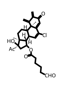 C=C1C(=C)[C@@]2(C)C(=CC1=O)C(Cl)=C[C@@H]1[C@@H]2CC[C@@]2(C)[C@H]1C(OC(=O)CCCCC=O)C[C@]2(O)C(C)=O